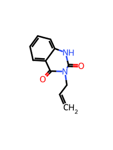 C=CCn1c(=O)[nH]c2ccccc2c1=O